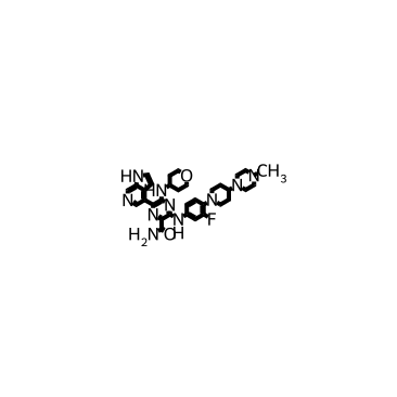 CN1CCN(C2CCN(c3ccc(Nc4nc(NC5CCOCC5)c(-c5cncc6[nH]ccc56)nc4C(N)=O)cc3F)CC2)CC1